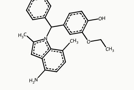 CCOc1cc(C(c2ccccc2)n2c(C)cc3c(N)ccc(C)c32)ccc1O